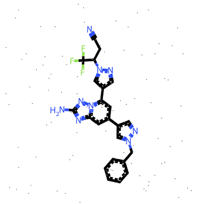 N#CCC(n1cc(-c2cc(-c3cnn(Cc4ccccc4)c3)cc3nc(N)nn23)cn1)C(F)(F)F